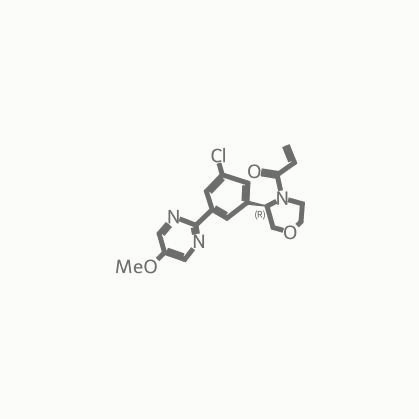 C=CC(=O)N1CCOC[C@H]1c1cc(Cl)cc(-c2ncc(OC)cn2)c1